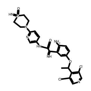 CC(Oc1ccc(N)c(C(=N)C(=O)Nc2ccc(N3CCS(=N)(=O)CC3)nc2)c1)c1c(Cl)cncc1Cl